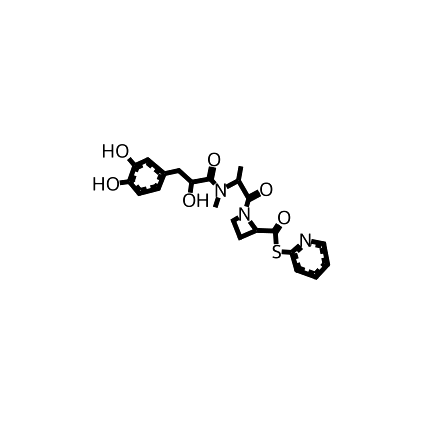 CC(C(=O)N1CCC1C(=O)Sc1ccccn1)N(C)C(=O)C(O)Cc1ccc(O)c(O)c1